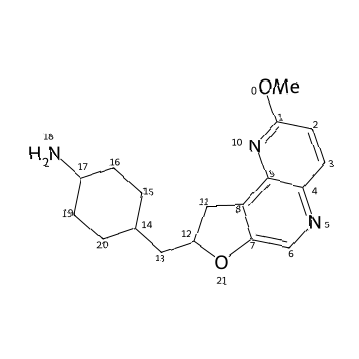 COc1ccc2ncc3c(c2n1)CC(CC1CCC(N)CC1)O3